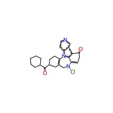 O=C1CC=C2c3c1c1cnccc1n3C1=C(CC(C(=O)C3CCCCC3)CC1)CN2Cl